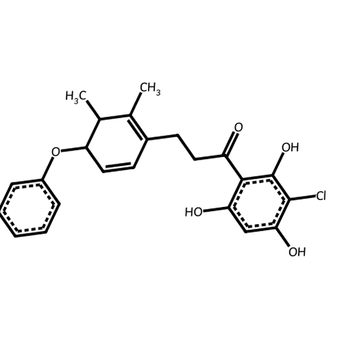 CC1=C(CCC(=O)c2c(O)cc(O)c(Cl)c2O)C=CC(Oc2ccccc2)C1C